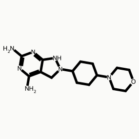 Nc1nc(N)c2c(n1)NN(C1CCC(N3CCOCC3)CC1)C2